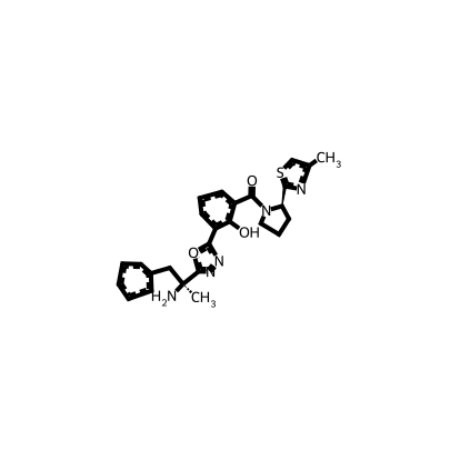 Cc1csc([C@H]2CCCN2C(=O)c2cccc(-c3nnc([C@@](C)(N)Cc4ccccc4)o3)c2O)n1